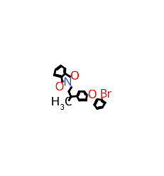 CC(CCN1C(=O)c2ccccc2C1=O)c1ccc(Oc2ccccc2Br)cc1